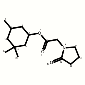 CC1CC(OC(=O)CN2CCCC2=O)CC(C)(C)C1